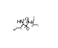 CCCC(NC)C(=O)C(=O)N(C)CC